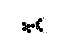 FC(F)(F)c1ccc(-c2ccc3c(c2)c2cc(-c4ccc(C(F)(F)F)cc4)ccc2n3-c2ccc(-c3ccc4c(-c5ccccc5)c5ccccc5c(-c5ccccc5)c4c3)cc2)cc1